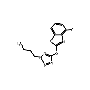 CCCCn1nnc(Sc2nc3c(Cl)cccc3s2)n1